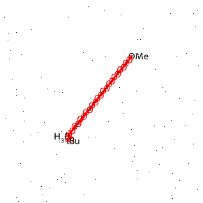 COCCOCCOCCOCCOCCOCCOCCOCCOCCOCCOCCOCCOCCOCCOCCOCCOCCOCCOCCOCCOCCOCCOC(C)CC(=O)OC(C)(C)C